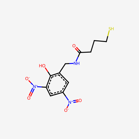 O=C(CCCS)NCc1cc([N+](=O)[O-])cc([N+](=O)[O-])c1O